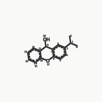 CC(C)c1ccc2c(c1)C(O)c1cccnc1O2